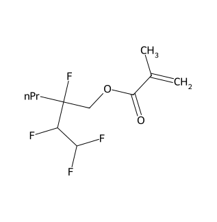 C=C(C)C(=O)OCC(F)(CCC)C(F)C(F)F